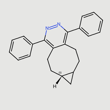 c1ccc(-c2nnc(-c3ccccc3)c3c2CCC2C[C@@H]2CC3)cc1